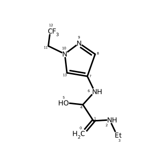 C=C(NCC)C(O)Nc1cnn(CC(F)(F)F)c1